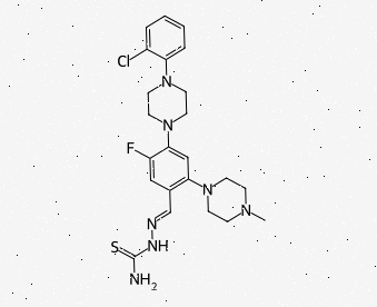 CN1CCN(c2cc(N3CCN(c4ccccc4Cl)CC3)c(F)cc2/C=N/NC(N)=S)CC1